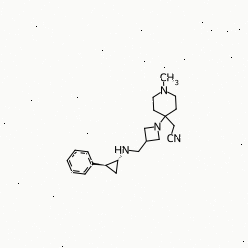 CN1CCC(CC#N)(N2CC(CN[C@@H]3C[C@H]3c3ccccc3)C2)CC1